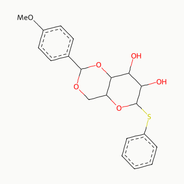 COc1ccc(C2OCC3OC(Sc4ccccc4)C(O)C(O)C3O2)cc1